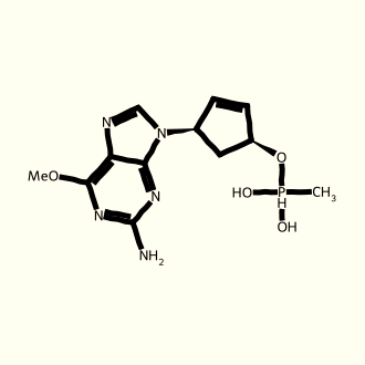 COc1nc(N)nc2c1ncn2[C@H]1C=C[C@@H](O[PH](C)(O)O)C1